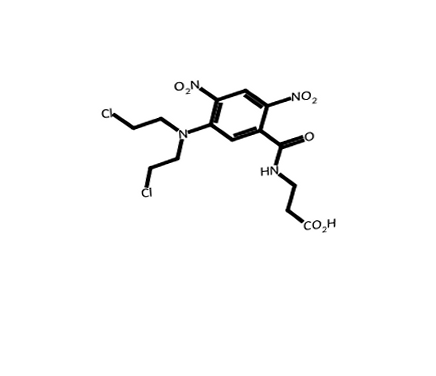 O=C(O)CCNC(=O)c1cc(N(CCCl)CCCl)c([N+](=O)[O-])cc1[N+](=O)[O-]